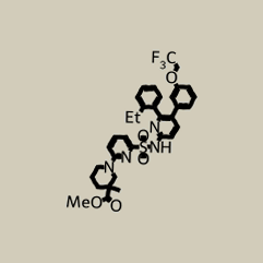 CCc1ccccc1-c1nc(NS(=O)(=O)c2cccc(N3CCCC(C)(C(=O)OC)C3)n2)ccc1-c1cccc(OCC(F)(F)F)c1